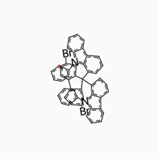 Brc1ccc2c(c1)C(c1cccc3c4ccccc4n(-c4ccccc4)c13)(c1cccc3c4ccccc4n(-c4ccccc4)c13)c1cc(Br)ccc1-2